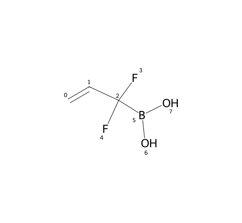 C=CC(F)(F)B(O)O